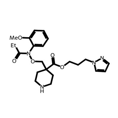 CCC(=O)N(OCC1(C(=O)OCCCn2cccn2)CCNCC1)c1ccccc1OC